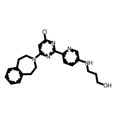 OCCCNc1ccc(-c2nc(Cl)cc(N3CCc4ccccc4CC3)n2)nc1